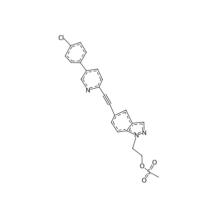 CS(=O)(=O)OCCn1ncc2cc(C#Cc3ccc(-c4ccc(Cl)cc4)cn3)ccc21